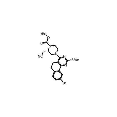 CSc1nc2c(c(N3CCN(C(=O)OC(C)(C)C)[C@@H](CC#N)C3)n1)CCc1ccc(Br)cc1-2